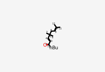 CCCCC(=O)C=CC(C)(C)CC=C(C)C